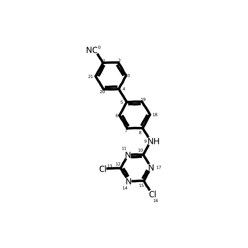 N#Cc1ccc(-c2ccc(Nc3nc(Cl)nc(Cl)n3)cc2)cc1